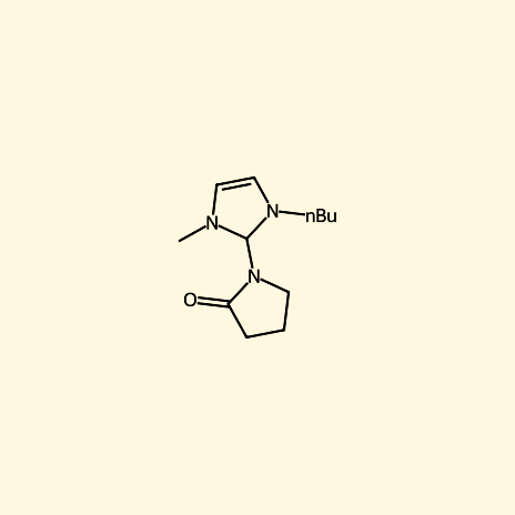 CCCCN1C=CN(C)C1N1CCCC1=O